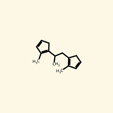 [CH2]C(CC1=C(C)C=CC1)C1=C(C)C=CC1